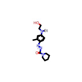 CCN(CCO)c1ccc(/N=N/C(=O)N2CCCCC2)c(C)c1